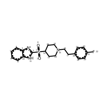 O=S(=O)(c1nc2ccccc2[nH]1)C1CCN(CCc2ccc(F)cc2)CC1